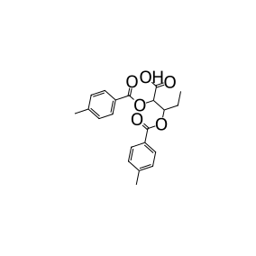 CCC(OC(=O)c1ccc(C)cc1)C(OC(=O)c1ccc(C)cc1)C(=O)O